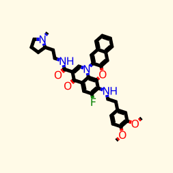 COc1ccc(CCNc2c(F)cc3c(=O)c(C(=O)NCCC4CCCN4C)cn4c3c2Oc2cc3ccccc3cc2-4)cc1OC